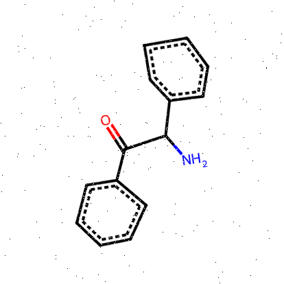 NC(C(=O)c1ccccc1)c1ccccc1